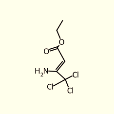 CCOC(=O)/C=C(\N)C(Cl)(Cl)Cl